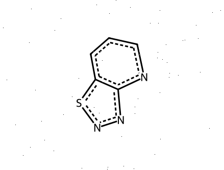 c1cnc2nnsc2c1